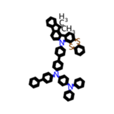 CC1(C)c2ccccc2-c2ccc3c(c21)c1ccc2c(c1n3-c1ccc(-c3ccc(N(c4ccc(-c5ccccc5)cc4)c4ccc(N(c5ccccc5)c5ccccc5)cc4)cc3)cc1)Sc1ccccc1S2